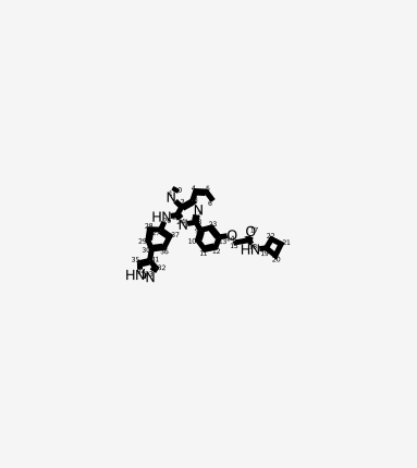 C=Nc1c(/C=C\C)nc(-c2cccc(OCC(=O)NC3CCC3)c2)nc1Nc1ccc(-c2cn[nH]c2)cc1